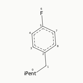 [CH2]CCC(C)Cc1ccc(F)cc1